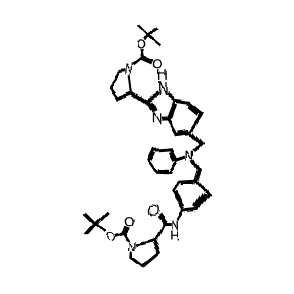 CC(C)(C)OC(=O)N1CCCC1C(=O)Nc1ccc(CN(Cc2ccc3[nH]c(C4CCCN4C(=O)OC(C)(C)C)nc3c2)c2ccccc2)cc1